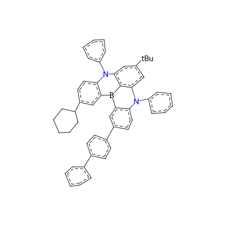 CC(C)(C)c1cc2c3c(c1)N(c1ccccc1)c1ccc(C4CCCCC4)cc1B3c1cc(-c3ccc(-c4ccccc4)cc3)ccc1N2c1ccccc1